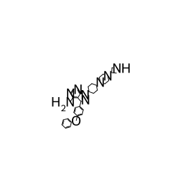 Nc1ncnc2c1c(-c1ccc(Oc3ccccc3)cc1)nn2C1CCC(N2CCN(C3CNC3)CC2)CC1